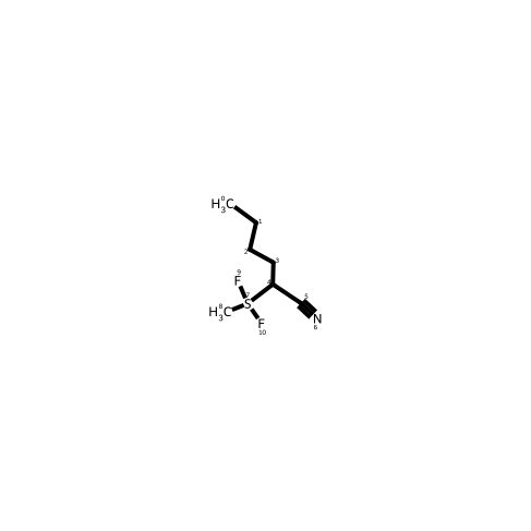 CCCCC(C#N)S(C)(F)F